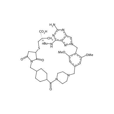 CCCCNc1nc(N)nc2cn(Cc3c(OC)cc(CN4CCN(C(=O)C5CCC(CN6C(=O)CC(SC[C@@H](C)C(=O)O)C6=O)CC5)CC4)cc3OC)nc12